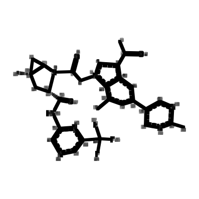 CC(=O)c1cn(CC(=O)N2C3C[C@]3(C)C[C@H]2C(=O)Nc2cncc(C(F)(F)F)n2)c2c(C)cc(-c3cnc(C)nc3)cc12